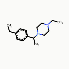 CCc1ccc(C(C)N2CCN(CC)CC2)cc1